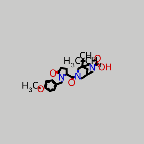 COc1ccc(CN2C(=O)CCC2C(=O)N2CC3CN(C(=O)O)CC(C(C)(C)C)(C3)C2)cc1